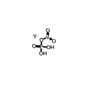 [O]=[V](=[O])[O]P(=O)(O)O.[Y]